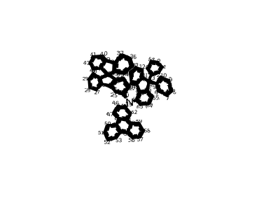 c1ccc(C2(c3ccccc3)c3ccccc3-c3c(N(c4ccc5c(c4)-c4ccccc4C54c5ccccc5-c5ccccc54)c4ccc5c6ccccc6c6ccccc6c5c4)cccc32)cc1